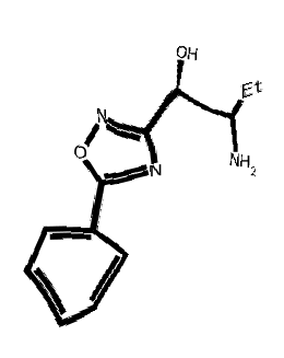 CCC(N)[C@H](O)c1noc(-c2ccccc2)n1